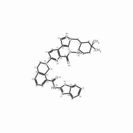 CC1(C)CCCC(Cn2cc(-c3ccc(N4CCc5cccc(C(=O)Nc6nc7ccccc7s6)c5C4)nc3C(=O)OC(C)(C)C)cn2)C1